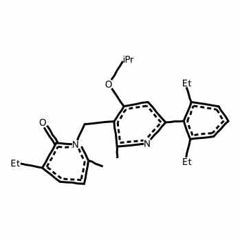 CCc1cccc(CC)c1-c1cc(OC(C)C)c(Cn2c(C)ccc(CC)c2=O)c(C)n1